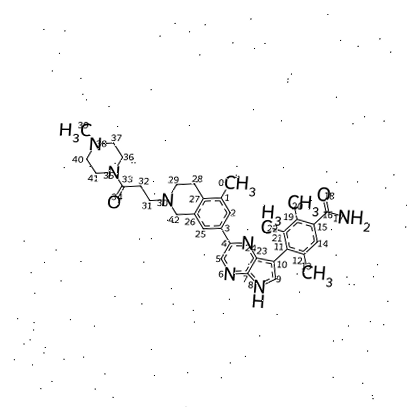 Cc1cc(-c2cnc3[nH]cc(-c4c(C)cc(C(N)=O)c(C)c4C)c3n2)cc2c1CCN(CCC(=O)N1CCN(C)CC1)C2